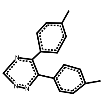 Cc1ccc(-c2ncnnc2-c2ccc(C)cc2)cc1